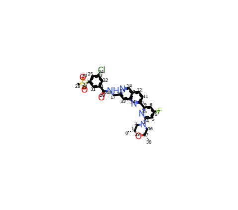 C[C@@H]1CN(c2cc(F)cc(-c3ccc4cnc(CNC(=O)c5cc(Cl)cc(S(C)(=O)=O)c5)cc4n3)n2)C[C@H](C)O1